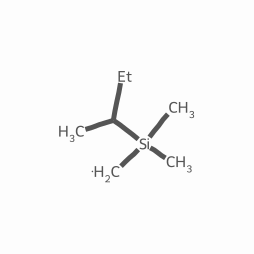 [CH2][Si](C)(C)C(C)CC